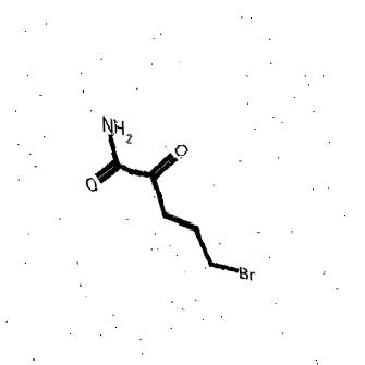 NC(=O)C(=O)CCCBr